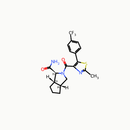 Cc1nc(C(=O)N2C[C@@H]3CCC[C@@H]3[C@H]2C(N)=O)c(-c2ccc(C(F)(F)F)cc2)s1